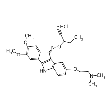 C#CC(CC)O/N=C1/c2cc(OC)c(OC)cc2-c2[nH]c3ccc(OCCN(C)C)cc3c21.Cl